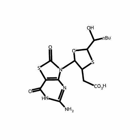 CCCCC(O)C1OC(n2c(=O)sc3c(=O)[nH]c(N)nc32)C(CC(=O)O)S1